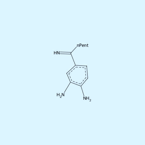 CCCCCC(=N)c1ccc(N)c(N)c1